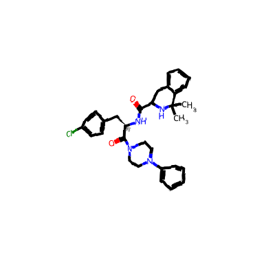 CC1(C)NC(C(=O)N[C@H](Cc2ccc(Cl)cc2)C(=O)N2CCN(c3ccccc3)CC2)Cc2ccccc21